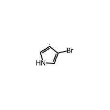 Brc1[c]c[nH]c1